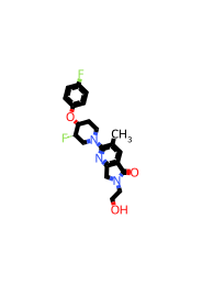 Cc1cc2c(nc1N1CCC(Oc3ccc(F)cc3)[C@@H](F)C1)CN(CCO)C2=O